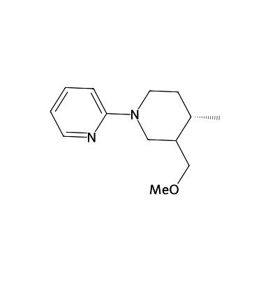 COCC1CN(c2ccccn2)CC[C@@H]1C